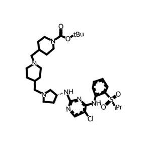 CC(C)S(=O)(=O)c1ccccc1Nc1nc(N[C@@H]2CCN(CC3CCN(CC4CCN(C(=O)OC(C)(C)C)CC4)CC3)C2)ncc1Cl